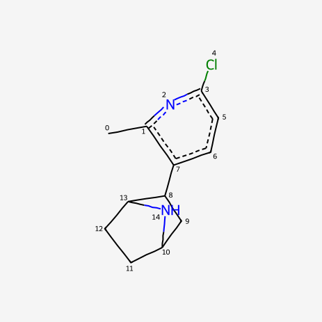 Cc1nc(Cl)ccc1C1CC2CCC1N2